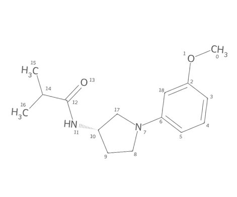 COc1cccc(N2CC[C@H](NC(=O)C(C)C)C2)c1